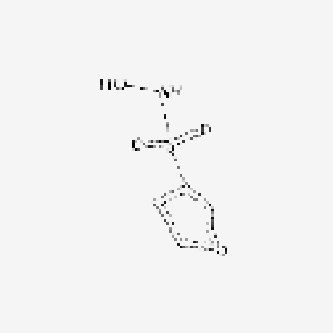 O=S(=O)(NO)c1ccoc1